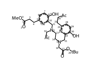 COC(=O)CCc1ccc(O)c(CN(CCN(CC(=O)OC(C)(C)C)Cc2nc(CCC(C)=O)ccc2O)CC(C)=O)n1